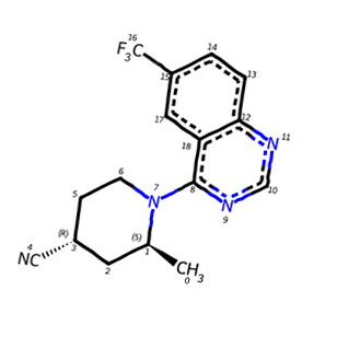 C[C@H]1C[C@H](C#N)CCN1c1ncnc2ccc(C(F)(F)F)cc12